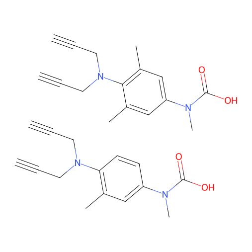 C#CCN(CC#C)c1c(C)cc(N(C)C(=O)O)cc1C.C#CCN(CC#C)c1ccc(N(C)C(=O)O)cc1C